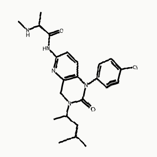 CNC(C)C(=O)Nc1ccc2c(n1)CN(C(C)CC(C)C)C(=O)N2c1ccc(Cl)cc1